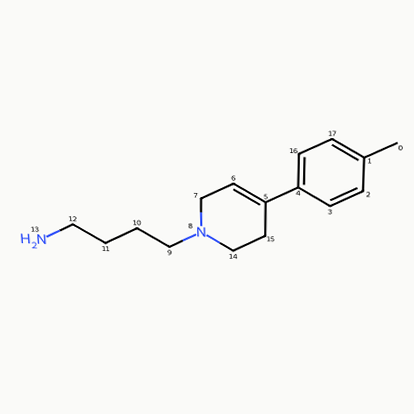 Cc1ccc(C2=CCN(CCCCN)CC2)cc1